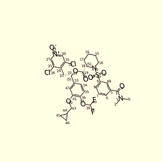 CN(C)C(=O)c1cccc(S(=O)(=O)N2CCCC[C@H]2C(=O)O[C@@H](Cc2c(Cl)c[n+]([O-])cc2Cl)c2ccc(OC(F)F)c(OCC3CC3)c2)c1